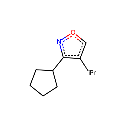 CC(C)c1conc1C1CCCC1